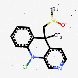 CC(C)(C)[S+]([O-])CC1(C(F)(F)F)c2ccccc2N(Cl)c2cnccc21